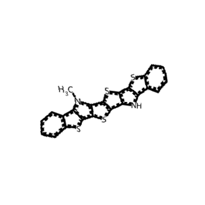 Cn1c2c3ccccc3sc2c2sc3c4[nH]c5c6ccccc6sc5c4sc3c21